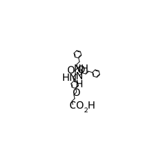 O=C(O)CCCOc1ccc(NC(NC(=O)C=Cc2ccccc2)C(=O)NCCc2ccccc2)cc1